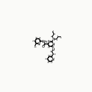 CCCN(CCC)c1nc(OCCc2ccccn2)cc(C(=O)Nc2cccc(C)n2)n1